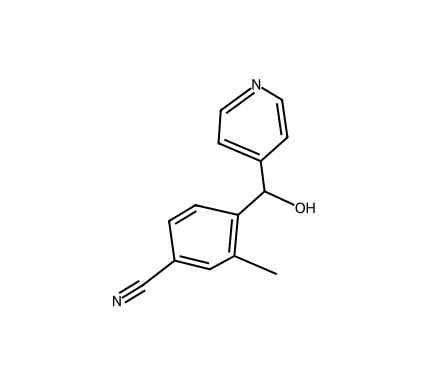 Cc1cc(C#N)ccc1C(O)c1ccncc1